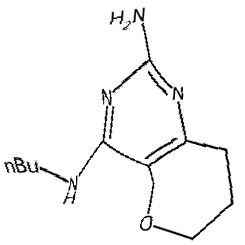 CCCCNc1nc(N)nc2c1OCCC2